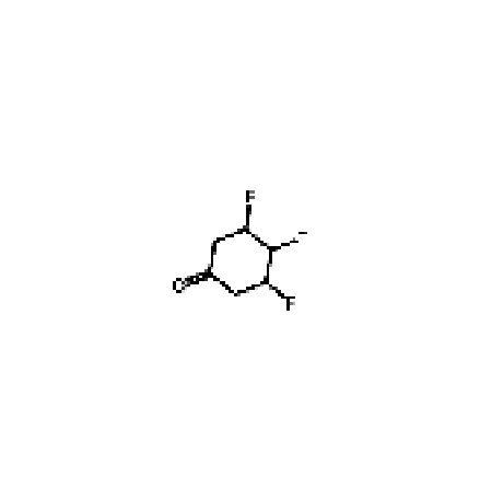 O=C1CC(F)C(F)C(F)C1